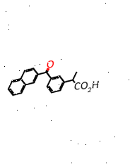 CC(C(=O)O)c1cccc(C(=O)c2ccc3ccccc3c2)c1